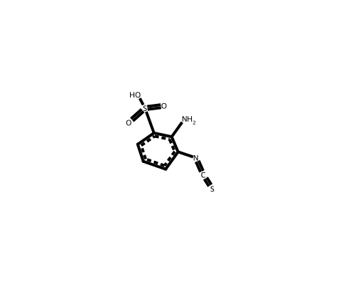 Nc1c(N=C=S)cccc1S(=O)(=O)O